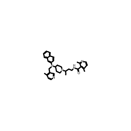 Cc1ccncc1CN(c1ccc2ccccc2c1)C1CCN(C(C)CCNC(=O)c2c(C)ccnc2C)CC1